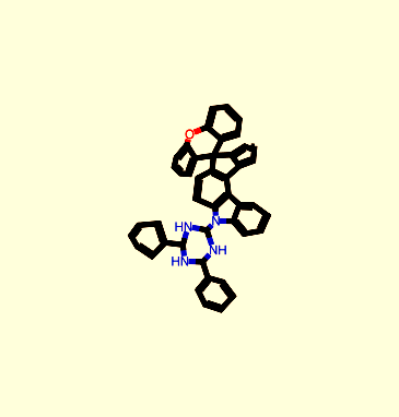 c1ccc(C2NC(c3ccccc3)NC(n3c4ccccc4c4c5c(ccc43)C3(c4ccccc4Oc4ccccc43)c3ccccc3-5)N2)cc1